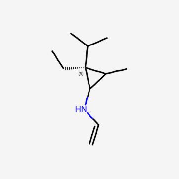 C=CNC1C(C)[C@]1(CC)C(C)C